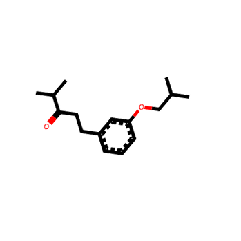 CC(C)COc1cccc(CCC(=O)C(C)C)c1